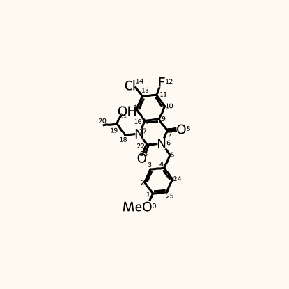 COc1ccc(Cn2c(=O)c3cc(F)c(Cl)cc3n(CC(C)O)c2=O)cc1